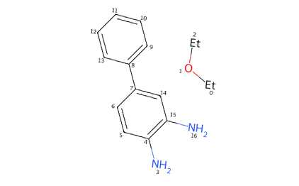 CCOCC.Nc1ccc(-c2ccccc2)cc1N